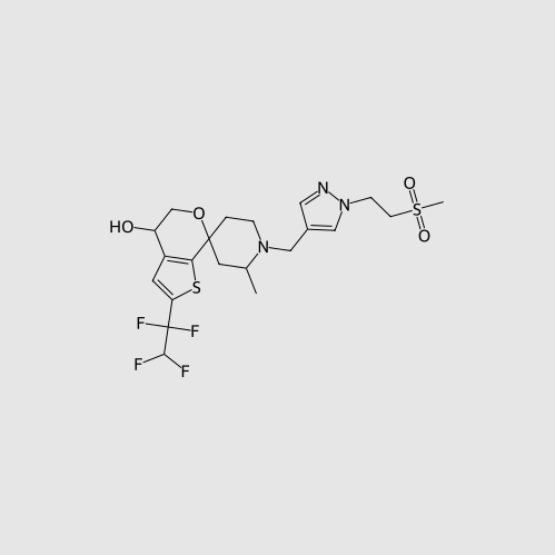 CC1CC2(CCN1Cc1cnn(CCS(C)(=O)=O)c1)OCC(O)c1cc(C(F)(F)C(F)F)sc12